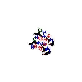 Cc1noc(NS(=O)(=O)c2nccs2)c1Cl.Cc1noc(NS(=O)(=O)c2nccs2)c1Cl